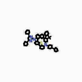 CC1(C)c2ccccc2-c2ccc(N(c3ccc(-c4ccccc4)cc3)c3cccc4c3sc3c4ccc4c3c3c5ccccc5ccc3n4-c3nc(-c4ccccc4)cc(-c4ccccc4)n3)cc21